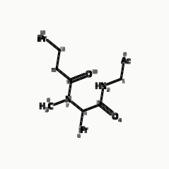 CC(=O)CNC(=O)C(C(C)C)N(C)C(=O)CCC(C)C